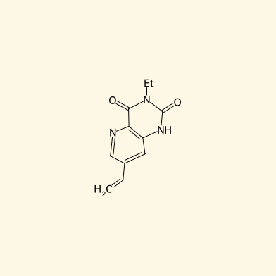 C=Cc1cnc2c(=O)n(CC)c(=O)[nH]c2c1